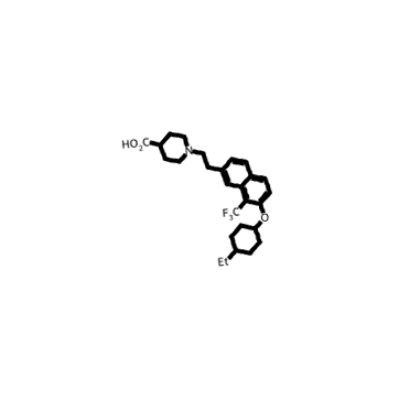 CCC1CCC(Oc2ccc3ccc(CCN4CCC(C(=O)O)CC4)cc3c2C(F)(F)F)CC1